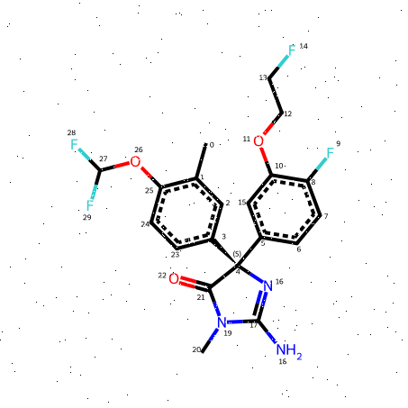 Cc1cc([C@@]2(c3ccc(F)c(OCCF)c3)N=C(N)N(C)C2=O)ccc1OC(F)F